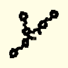 O=C(COc1cc(OCc2ccccc2)ccc1C(O)c1ccc(OCc2ccccc2)cc1)c1ccc(OCc2ccccc2)cc1